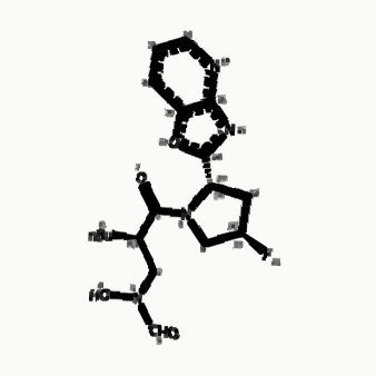 CCCC[C@H](CN(O)C=O)C(=O)N1C[C@H](F)C[C@H]1c1nc2ncccc2o1